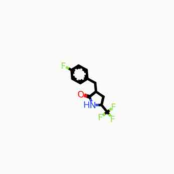 O=C1NC(C(F)(F)F)CC1Cc1ccc(F)cc1